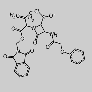 C=C(C)C(C(=O)OCN1C(=O)c2ccccc2C1=O)N1C(=O)C(NC(=O)COc2ccccc2)C1[S+]([O-])Cl